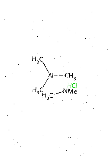 CNC.Cl.[CH3][Al]([CH3])[CH3]